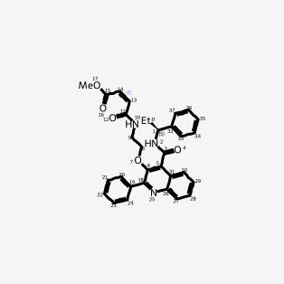 CC[C@H](NC(=O)c1c(OCCNC(=O)/C=C\C(=O)OC)c(-c2ccccc2)nc2ccccc12)c1ccccc1